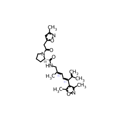 C=C(C)/C(=C\C=C(/C)CNC(=O)[C@@H]1CCCN1C(=O)Cc1cc(C)no1)c1c(C)noc1C